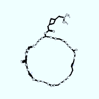 CN(C)CC1CC(CC(=O)OC2CCCCCCCC(=O)OC/C=C\CCCCCCCCCCCC/C=C\COC(=O)CCCCCCC2)C1